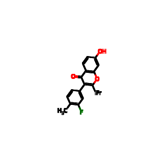 Cc1ccc(-c2c(C(C)C)oc3cc(O)ccc3c2=O)cc1F